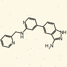 Nc1n[nH]c2ccc(-c3ccnc(NCc4ccccn4)c3)cc12